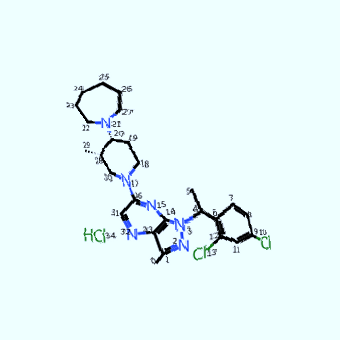 Cc1nn(C(C)c2ccc(Cl)cc2Cl)c2nc(N3CC[C@@H](N4CCCCCC4)[C@@H](C)C3)cnc12.Cl